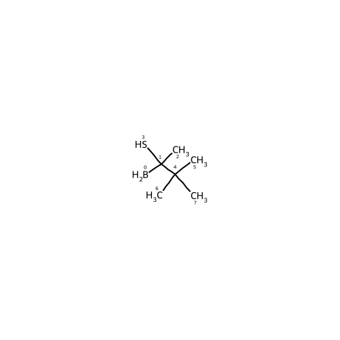 BC(C)(S)C(C)(C)C